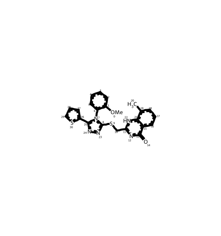 COc1ccccc1-n1c(SCc2nc(=O)c3cccc(C)c3[nH]2)nnc1-c1cccs1